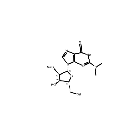 CO[C@@H]1[C@H](O)[C@@H](CO)O[C@H]1n1cnc2c(=O)[nH]c(N(C)C)nc21